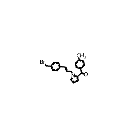 Cc1ccc(C(=O)c2cccn2CC=Cc2ccc(CBr)cc2)cc1